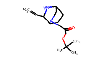 C=CC1NC2CCC1N(C(=O)OC(C)(C)C)C2